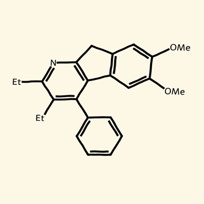 CCc1nc2c(c(-c3ccccc3)c1CC)-c1cc(OC)c(OC)cc1C2